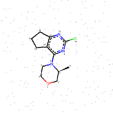 C[C@H]1COCCN1c1nc(Cl)nc2c1CCC2